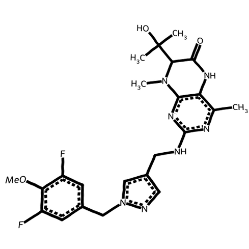 COc1c(F)cc(Cn2cc(CNc3nc(C)c4c(n3)N(C)C(C(C)(C)O)C(=O)N4)cn2)cc1F